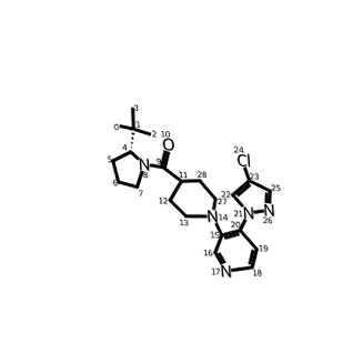 CC(C)(C)[C@H]1CCCN1C(=O)C1CCN(c2cnccc2-n2cc(Cl)cn2)CC1